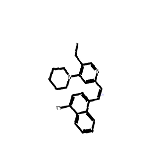 CCc1cnc(/C=C\c2ccc(Cl)c3ccccc23)cc1N1CCCCC1